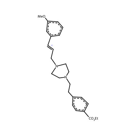 CCOC(=O)c1ccc(CCN2CCN(C/C=C/c3cccc(OC)c3)CC2)cc1